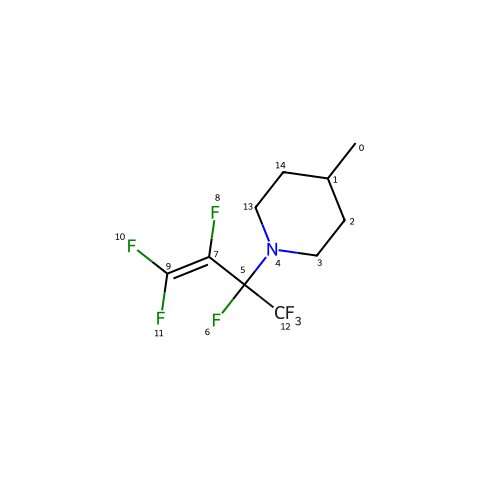 CC1CCN(C(F)(C(F)=C(F)F)C(F)(F)F)CC1